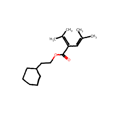 CC(C)=CC(C(=O)OCCC1CCCCC1)=C(C)C